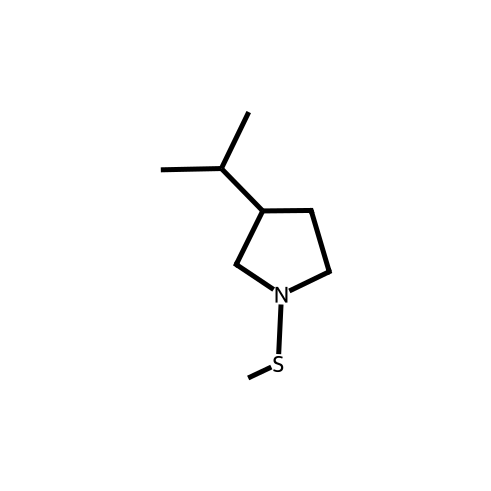 CSN1CCC(C(C)C)C1